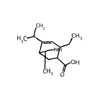 CCC12C=C(C(C)C)C(CC1C(=O)O)C(C)N2